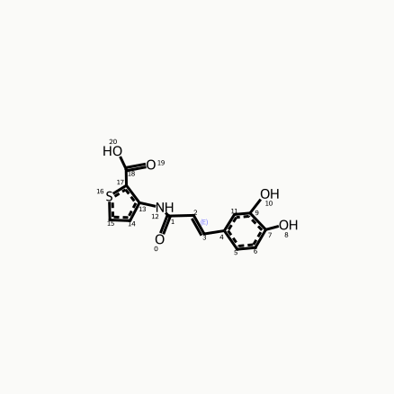 O=C(/C=C/c1ccc(O)c(O)c1)Nc1ccsc1C(=O)O